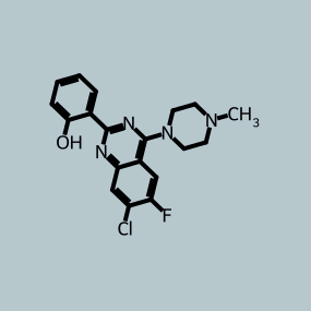 CN1CCN(c2nc(-c3ccccc3O)nc3cc(Cl)c(F)cc23)CC1